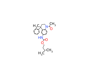 CC(=O)N1CCC(C)(c2ccccc2)c2cc(NC(=O)OCCC(C)C)ccc21